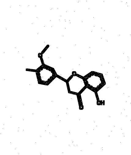 COc1cc(C2CC(=O)c3c(O)cccc3O2)ccc1C